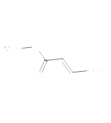 COOC(=O)C=CC(=O)O